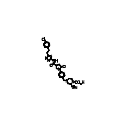 CC(C)(C)C1CN(Cc2ccc(N3CC(C(=O)Nc4nnc(CCc5ccc(Cl)cc5)s4)CC3=O)cc2)CCN1C(=O)O